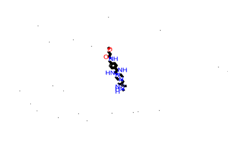 CN/C(C)=C(\C=N)CN1CCN(C(=N)C(=N)c2ccc(CNC(=O)CCOC)cc2)CC1